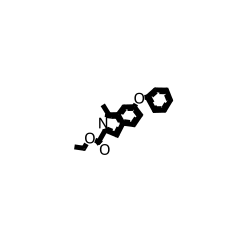 CCOC(=O)c1cc2ccc(Oc3ccccc3)cc2c(C)n1